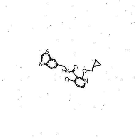 O=C(NCc1ccc2ncsc2c1)c1c(Cl)ccnc1OCC1CC1